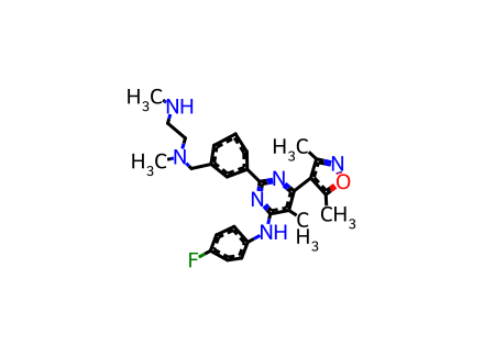 CNCCN(C)Cc1cccc(-c2nc(Nc3ccc(F)cc3)c(C)c(-c3c(C)noc3C)n2)c1